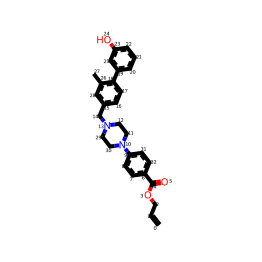 C=CCOC(=O)c1ccc(N2CCN(Cc3ccc(-c4cccc(O)c4)c(C)c3)CC2)cc1